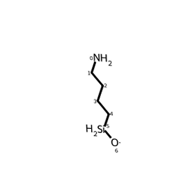 NCCCC[SiH2][O]